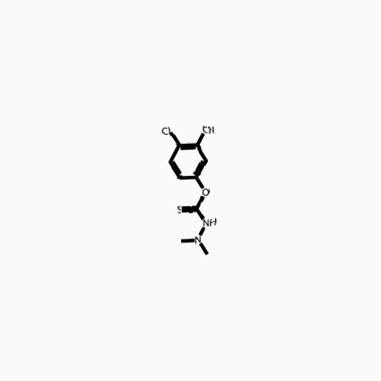 CN(C)NC(=S)Oc1ccc(Cl)c(C#N)c1